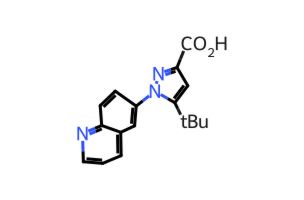 CC(C)(C)c1cc(C(=O)O)nn1-c1ccc2ncccc2c1